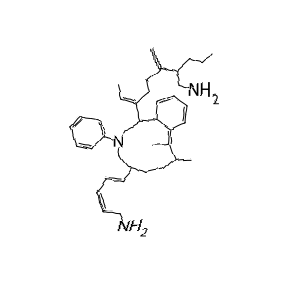 C=C(CC/C(=C\C)C1CN(c2ccccc2)CC(/C=C/C=C\CN)CCC(C)/C(C)=C2\C=CC=CC21)C(CN)CCC